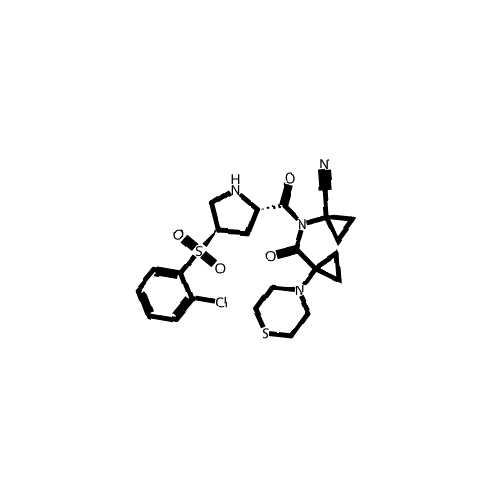 N#CC1(N(C(=O)[C@@H]2C[C@@H](S(=O)(=O)c3ccccc3Cl)CN2)C(=O)C2(N3CCSCC3)CC2)CC1